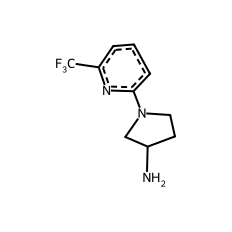 NC1CCN(c2cccc(C(F)(F)F)n2)C1